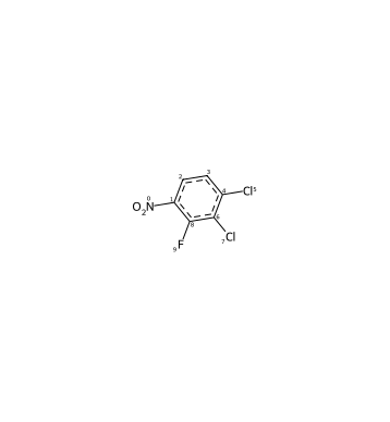 O=[N+]([O-])c1ccc(Cl)c(Cl)c1F